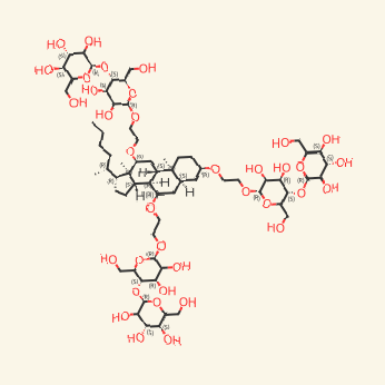 CCCC[C@@H](C)[C@H]1CC[C@H]2[C@@H]3[C@H](OCCO[C@@H]4OC(CO)[C@@H](O[C@H]5OC(CO)[C@@H](O)[C@H](O)C5O)[C@H](O)C4O)C[C@@H]4C[C@H](OCCO[C@@H]5OC(CO)[C@@H](O[C@H]6OC(CO)[C@@H](O)[C@H](O)C6O)[C@H](O)C5O)CC[C@]4(C)[C@H]3C[C@H](OCCO[C@@H]3OC(CO)[C@@H](O[C@H]4OC(CO)[C@@H](O)[C@H](O)C4O)[C@H](O)C3O)[C@]12C